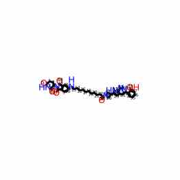 O=C1CCC(N2C(=O)c3ccc(NCCCCCCCCCCC(=O)N4CC(c5cc6cc(-c7ccccc7O)nnc6[nH]5)C4)cc3C2=O)C(=O)N1